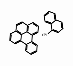 CCCc1cccc2ccccc12.c1ccc2c(c1)c1cccc3ccc4cccc2c4c31